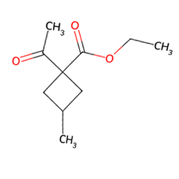 CCOC(=O)C1(C(C)=O)CC(C)C1